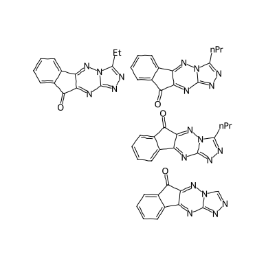 CCCc1nnc2nc3c(nn12)-c1ccccc1C3=O.CCCc1nnc2nc3c(nn12)C(=O)c1ccccc1-3.CCc1nnc2nc3c(nn12)-c1ccccc1C3=O.O=C1c2ccccc2-c2nc3nncn3nc21